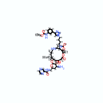 CC[C@H]1OC(=O)[C@H](C)C(=O)[C@H](C)[C@@H](O[C@@H]2O[C@H](CNC(=O)c3cnccn3)CC(N)C2O)[C@](C)(OC)C[C@@H](C)CN[C@H](C)[C@H]2N(CCCCn3cc(-c4cccc(NC(=O)OC(C)(C)C)c4)nn3)C(=O)O[C@]12C